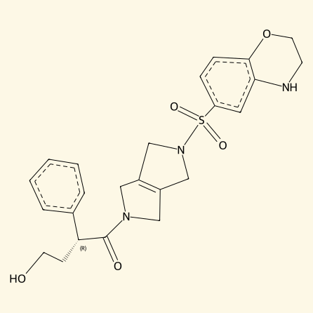 O=C([C@H](CCO)c1ccccc1)N1CC2=C(C1)CN(S(=O)(=O)c1ccc3c(c1)NCCO3)C2